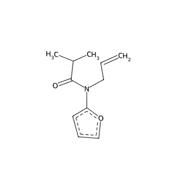 C=CCN(C(=O)C(C)C)c1ccco1